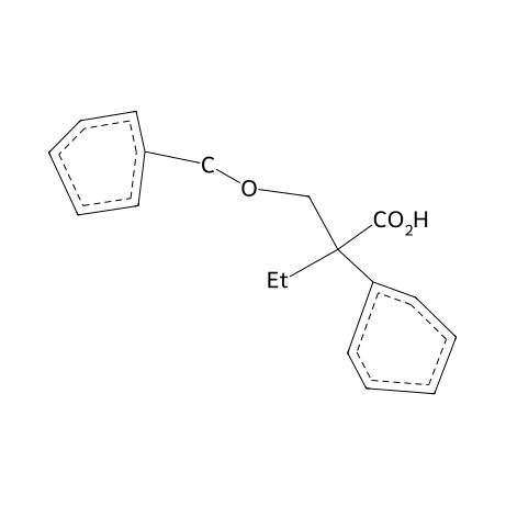 CCC(COCc1ccccc1)(C(=O)O)c1ccccc1